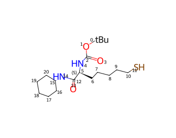 CC(C)(C)OC(=O)N[C@@H](CCCCCS)C(=O)NC1CCCCC1